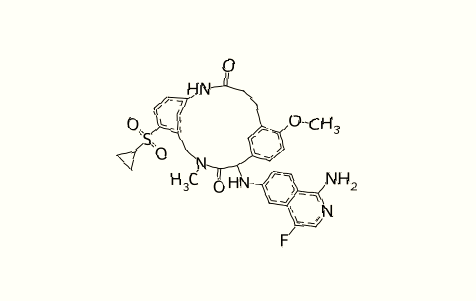 COc1ccc2cc1CCC(=O)Nc1ccc(S(=O)(=O)C3CC3)c(c1)CN(C)C(=O)C2Nc1ccc2c(N)ncc(F)c2c1